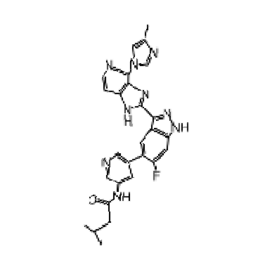 Cc1cn(-c2nccc3[nH]c(-c4n[nH]c5cc(F)c(-c6cncc(NC(=O)CC(C)C)c6)cc45)nc23)cn1